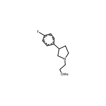 COCCN1C[CH]C(c2ccc(F)cc2)C1